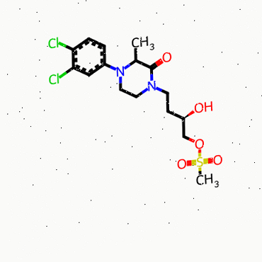 CC1C(=O)N(CC[C@@H](O)COS(C)(=O)=O)CCN1c1ccc(Cl)c(Cl)c1